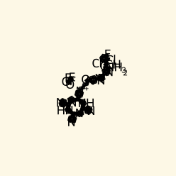 C[C@H](Oc1cc(-c2cnn(C3CCN(C(=O)CCCC[n+]4ccc(-c5c6nc(c(-c7ccncc7)c7ccc([nH]7)c(-c7ccncc7)c7nc(c(-c8ccncc8)c8ccc5[nH]8)C=C7)C=C6)cc4)CC3)c2)cnc1N)c1c(Cl)ccc(F)c1Cl.O=C([O-])C(F)(F)F